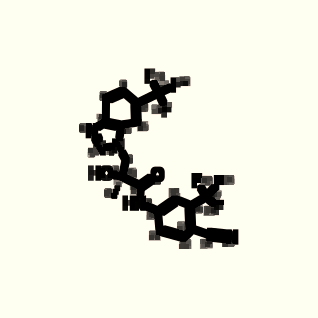 C[C@](O)(Cn1nnc2ccc(C(F)(F)F)cc21)C(=O)Nc1ccc(C#N)c(C(F)(F)F)c1